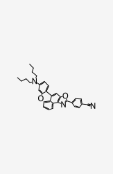 CCCCN(CCCC)c1ccc2c(c1)Oc1cccc3c1c-2cc1oc(-c2ccc(C#N)cc2)nc13